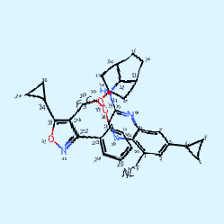 N#Cc1cc(C2CC2)cc2nc(NC3C4CCC3CC(OCc3c(-c5ccccc5OC(F)(F)F)noc3C3CC3)C4)cnc12